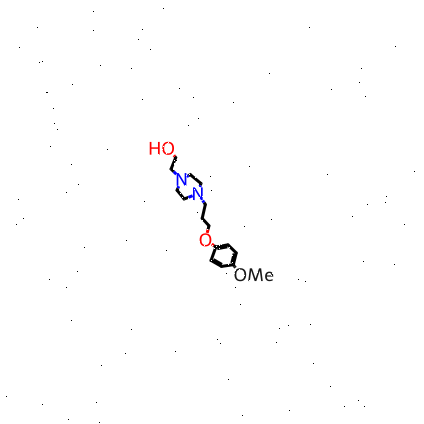 COc1ccc(OCCCN2CCN(CCO)CC2)cc1